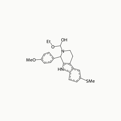 CCOC(O)N1CCc2c([nH]c3ccc(SC)cc23)C1c1ccc(OC)cc1